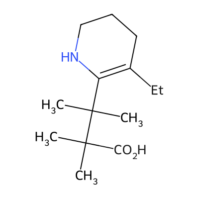 CCC1=C(C(C)(C)C(C)(C)C(=O)O)NCCC1